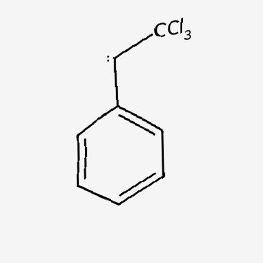 ClC(Cl)(Cl)[C]c1ccccc1